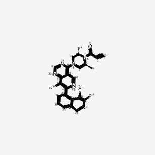 C=CC(=O)N1[C@@H](C)CN(c2ncnc3c(F)c(-c4cccc5ccc(F)c(Cl)c45)ncc23)C[C@@H]1C